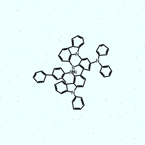 Cc1cc(-c2ccccc2)ccc1Nc1c(-c2cc(N(c3ccccc3)c3ccccc3)cc3c2Bc2cccc4c5ccccc5n-3c24)ccc2c1c1ccccc1n2-c1ccccc1